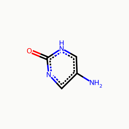 Nc1cnc(=O)[nH]c1